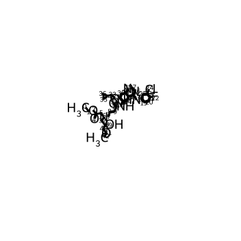 CCOC(=O)CN(C/C=C/C(=O)Nc1cc2c(Nc3ccc(F)c(Cl)c3)ncnc2cc1OCC1CC1)C[C@H](O)COC